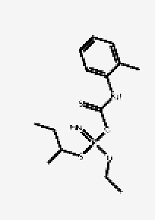 CCOP(=N)(OC(=S)Nc1ccccc1C)SC(C)CC